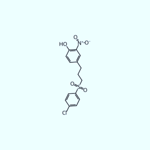 O=[N+]([O-])c1cc(CCCS(=O)(=O)c2ccc(Cl)cc2)ccc1O